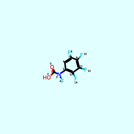 O=C(O)N(F)c1cc(F)c(F)c(F)c1F